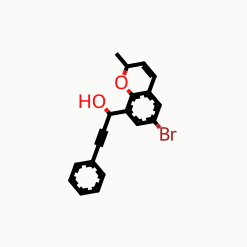 CC1C=Cc2cc(Br)cc(C(O)C#Cc3ccccc3)c2O1